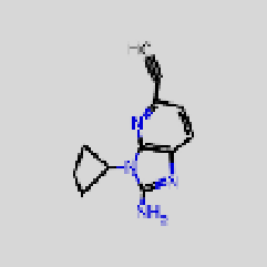 C#Cc1ccc2nc(N)n(C3CCC3)c2n1